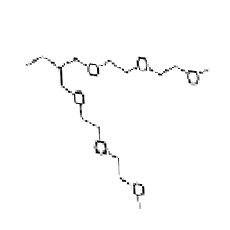 CCC(COCCOCCOC)COCCOCCOC